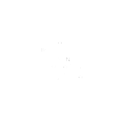 O=C(CBr)N(c1ccccc1Oc1ccccc1)C1c2cccc3c2OCC1O3